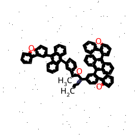 C=C/C=C(/c1cc(-c2c3ccccc3c(-c3cccc4oc5ccccc5c34)c3ccccc23)c2c(c1)oc1ccccc12)c1oc2ccc(-c3c4ccccc4c(-c4ccc5oc6ccccc6c5c4)c4ccccc34)cc2c1C